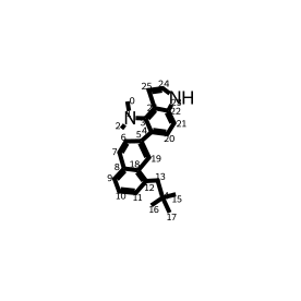 CN(C)c1c(-c2ccc3cccc(CC(C)(C)C)c3c2)ccc2[nH]ccc12